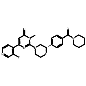 Cn1c(N2CCO[C@@H](c3ccc(C(=O)N4CCCCC4)cc3)C2)nc(-c2ccncc2F)cc1=O